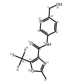 Cc1nc(C(=O)Nc2ccc(CO)nc2)c(C(F)(F)F)o1